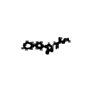 COC(=S)NC[C@H]1CN(c2ccc(N3CCCSCC3)cc2)C(=O)O1